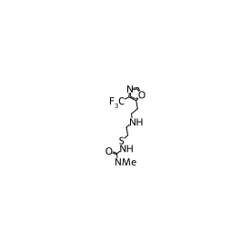 CNC(=O)NSCCNCCc1ocnc1C(F)(F)F